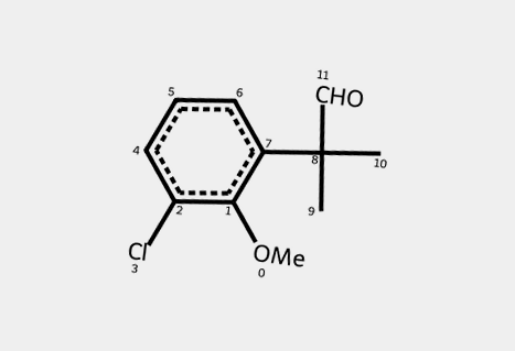 COc1c(Cl)cccc1C(C)(C)C=O